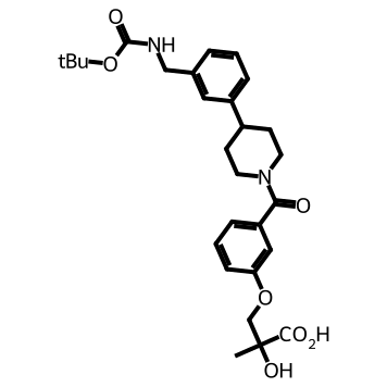 CC(C)(C)OC(=O)NCc1cccc(C2CCN(C(=O)c3cccc(OCC(C)(O)C(=O)O)c3)CC2)c1